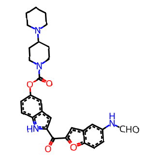 O=CNc1ccc2oc(C(=O)c3cc4cc(OC(=O)N5CCC(N6CCCCC6)CC5)ccc4[nH]3)cc2c1